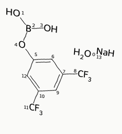 O.OB(O)Oc1cc(C(F)(F)F)cc(C(F)(F)F)c1.[NaH]